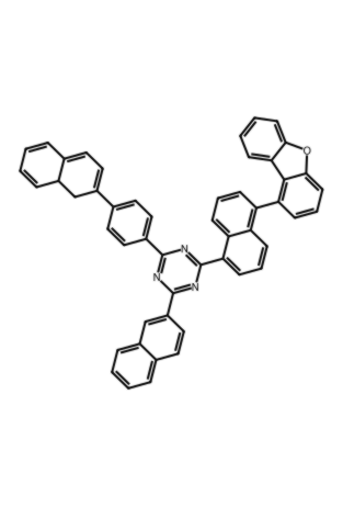 C1=CC2=CC=C(c3ccc(-c4nc(-c5ccc6ccccc6c5)nc(-c5cccc6c(-c7cccc8oc9ccccc9c78)cccc56)n4)cc3)CC2C=C1